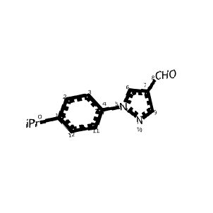 CC(C)c1ccc(-n2cc(C=O)cn2)cc1